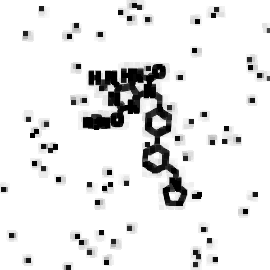 CCCCOc1nc(N)c2[nH]c(=O)n(Cc3ccc(-c4cccc(CN5CCCC5)c4)cc3)c2n1